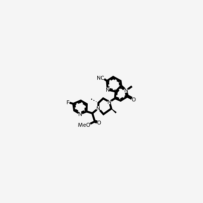 COC(=O)C(c1ccc(F)cn1)N1C[C@H](C)N(c2cc(=O)n(C)c3ccc(C#N)nc23)C[C@H]1C